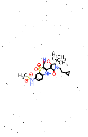 CC(C)(C)[C@H]1C(O)=C(C2=C(C#N)S(=O)(=O)c3cc(NS(C)(=O)=O)ccc3N2)C(=O)N1CCC1CC1